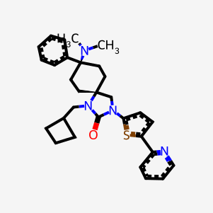 CN(C)[C@]1(c2ccccc2)CC[C@@]2(CC1)CN(c1ccc(-c3ccccn3)s1)C(=O)N2CC1CCC1